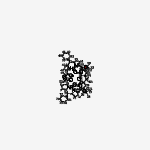 CCOC(=O)c1ccc2n1P(Oc1cc(C(C)(C)C)cc3c1Oc1c(OP4n5c(C(=O)OCC)ccc5C(c5ccccc5)c5ccc(C(=O)OCC)n54)cc(C(C)(C)C)cc1C3(C)C)n1c(C(=O)OCC)ccc1C2c1ccccc1